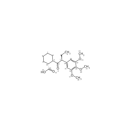 CC[C@H](C(=O)C1CCCC[C@H]1C(=O)O)c1cc(OC)c(OC)c(OC)c1